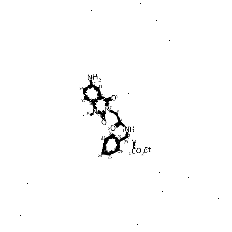 CCOC(=O)C[C@@H](NC(=O)Cn1c(=O)c2cc(N)ccc2n(C)c1=O)c1ccccc1